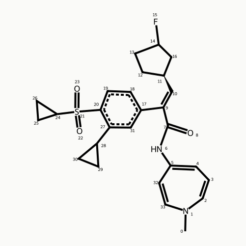 CN1C=CC=C(NC(=O)/C(=C/[C@H]2CCC(F)C2)c2ccc(S(=O)(=O)C3CC3)c(C3CC3)c2)C=C1